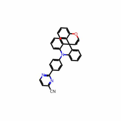 N#Cc1ccnc(-c2ccc(N3c4ccccc4C4(c5ccccc5Oc5ccccc54)c4ccccc43)cc2)n1